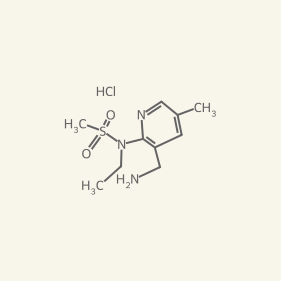 CCN(c1ncc(C)cc1CN)S(C)(=O)=O.Cl